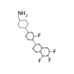 NCC1CCC(c2ccc(-c3ccc4c(F)c(F)c(F)cc4c3)c(F)c2)CC1